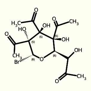 CC(=O)C(O)[C@H]1O[C@H](Br)[C@@](O)(C(C)=O)[C@](O)(C(C)=O)[C@]1(O)C(C)=O